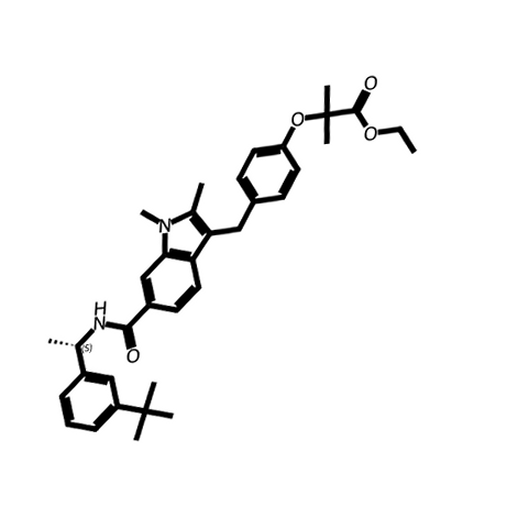 CCOC(=O)C(C)(C)Oc1ccc(Cc2c(C)n(C)c3cc(C(=O)N[C@@H](C)c4cccc(C(C)(C)C)c4)ccc23)cc1